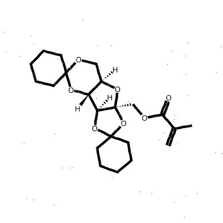 C=C(C)C(=O)OC[C@@]12O[C@@H]3COC4(CCCCC4)O[C@H]3[C@@H]1OC1(CCCCC1)O2